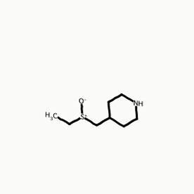 CC[S+]([O-])CC1CCNCC1